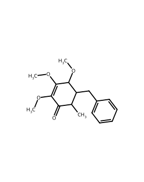 COC1=C(OC)C(OC)C(Cc2ccccc2)C(C)C1=O